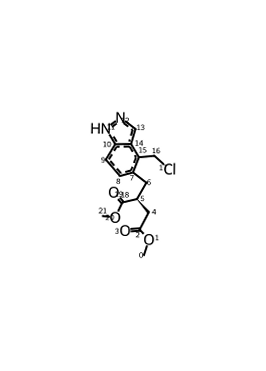 COC(=O)C[C@H](Cc1ccc2[nH]ncc2c1CCl)C(=O)OC